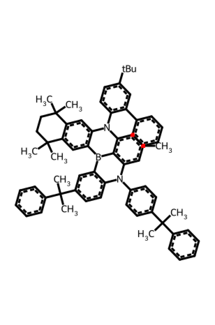 Cc1cc2c3c(c1)N(c1ccc(C(C)(C)C)cc1-c1ccccc1)c1cc4c(cc1B3c1cc(C(C)(C)c3ccccc3)ccc1N2c1ccc(C(C)(C)c2ccccc2)cc1)C(C)(C)CCC4(C)C